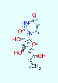 C=CC(O)[C@H]1O[C@@H](n2ccc(=O)[nH]c2=O)[C@@H](O)[C@@H]1O